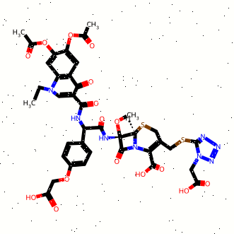 CCn1cc(C(=O)NC(C(=O)N[C@]2(OC)C(=O)N3C(C(=O)O)=C(CSc4nnnn4CC(=O)O)CS[C@@H]32)c2ccc(OCC(=O)O)cc2)c(=O)c2cc(OC(C)=O)c(OC(C)=O)cc21